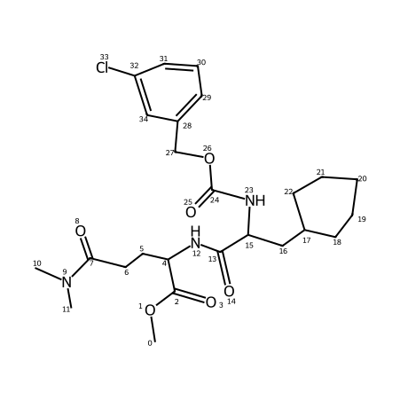 COC(=O)C(CCC(=O)N(C)C)NC(=O)C(CC1CCCCC1)NC(=O)OCc1cccc(Cl)c1